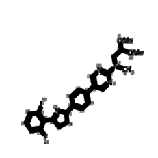 COC(CN(C)c1ncc(-c2ccc(C3CCC(c4c(F)cccc4F)=N3)cc2)cn1)OC